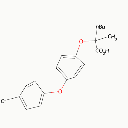 CCCCC(C)(Oc1ccc(Oc2ccc(C(F)(F)F)cc2)cc1)C(=O)O